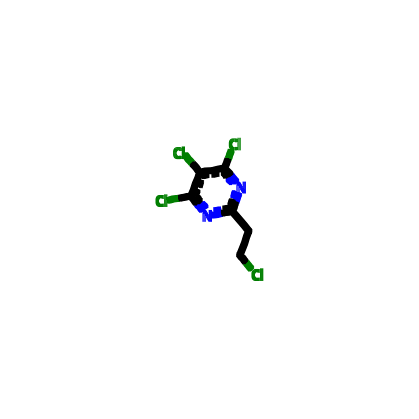 ClCCc1nc(Cl)c(Cl)c(Cl)n1